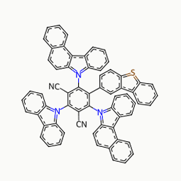 N#Cc1c(-n2c3ccccc3c3ccccc32)c(C#N)c(-n2c3ccccc3c3c4ccccc4ccc32)c(-c2ccc3sc4ccccc4c3c2)c1-n1c2ccccc2c2c3ccccc3ccc21